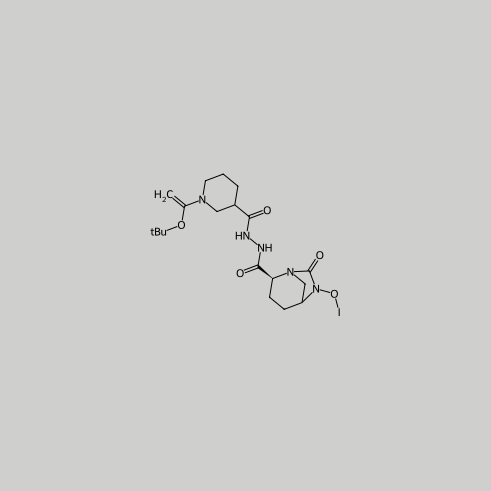 C=C(OC(C)(C)C)N1CCCC(C(=O)NNC(=O)[C@@H]2CCC3CN2C(=O)N3OI)C1